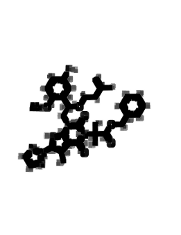 C=C(C)CCO[C@@H](Cn1c(=O)n(C(C)(C)C(=O)OCc2ccccc2)c(=O)c2c(C)c(-n3nccn3)sc21)c1cc(F)ccc1OC